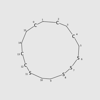 C1CCCCCSSSCCSCCCC1